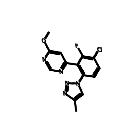 COc1cc(-c2c(-n3cc(C)nn3)ccc(Cl)c2F)ncn1